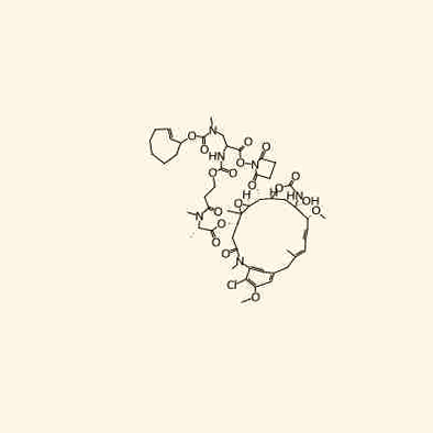 COc1cc2cc(c1Cl)N(C)C(=O)C[C@H](OC(=O)[C@H](C)N(C)C(=O)CCOC(=O)NC(CN(C)C(=O)OC1/C=C/CCCCC1)C(=O)ON1C(=O)CCC1=O)C1(C)O[C@H]1[C@H](C)[C@@H]1C[C@@](O)(NC(=O)O1)[C@H](OC)/C=C/C=C(\C)C2